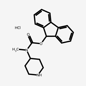 CN(C(=O)OC1c2ccccc2-c2ccccc21)C1CCNCC1.Cl